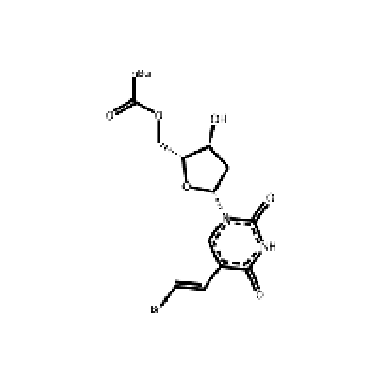 CCCCC(=O)OC[C@H]1O[C@@H](n2cc(C=CBr)c(=O)[nH]c2=O)C[C@@H]1O